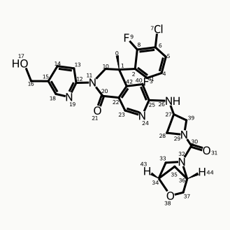 C[C@]1(c2cccc(Cl)c2F)CN(c2ccc(CO)cn2)C(=O)c2cnc(NC3CN(C(=O)N4C[C@@H]5C[C@H]4CO5)C3)c(F)c21